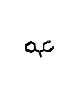 CN(C1C=CC=CC1)[C@H](C=O)CS